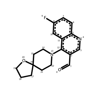 O=Cc1cnc2ccc(F)cc2c1N1CCC2(CCCO2)CC1